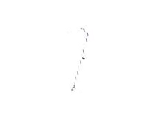 CCCCC/C=C\C/C=C\CCCCCCCC(=O)CCCCCCCCCCOC=O